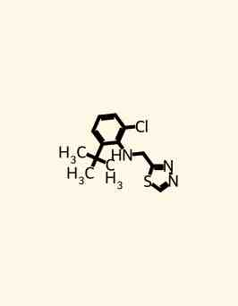 CC(C)(C)c1cccc(Cl)c1NCc1nncs1